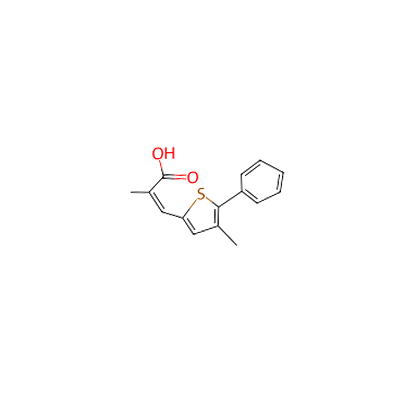 CC(=Cc1cc(C)c(-c2ccccc2)s1)C(=O)O